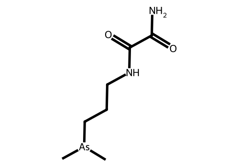 C[As](C)CCCNC(=O)C(N)=O